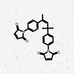 CC(=CC(C)(C)c1ccc(N2C(=O)C=CC2=O)cc1)c1ccc(N2C(=O)C=CC2=O)cc1